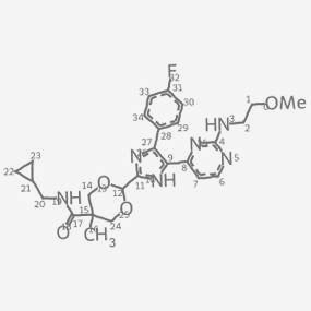 COCCNc1nccc(-c2[nH]c(C3OCC(C)(C(=O)NCC4CC4)CO3)nc2-c2ccc(F)cc2)n1